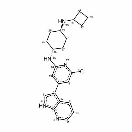 Clc1cc(-c2c[nH]c3ncccc23)cc(N[C@H]2CC[C@H](NC3CCC3)CC2)n1